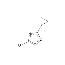 Cc1coc(C2CC2)n1